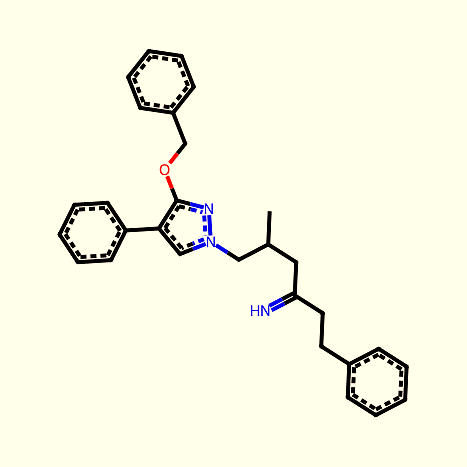 CC(CC(=N)CCc1ccccc1)Cn1cc(-c2ccccc2)c(OCc2ccccc2)n1